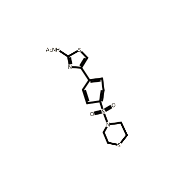 CC(=O)Nc1nc(-c2ccc(S(=O)(=O)N3CCSCC3)cc2)cs1